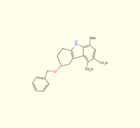 CSc1cc(C(=O)O)c(C(=O)O)c2c3c([nH]c12)CCC(OCc1ccccc1)C3